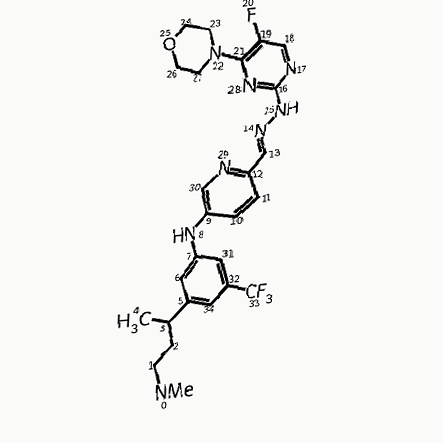 CNCCC(C)c1cc(Nc2ccc(/C=N/Nc3ncc(F)c(N4CCOCC4)n3)nc2)cc(C(F)(F)F)c1